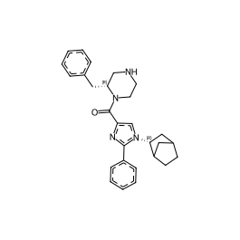 O=C(c1cn([C@@H]2CC3CCC2C3)c(-c2ccccc2)n1)N1CCNC[C@H]1Cc1ccccc1